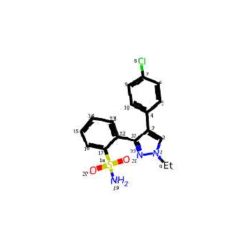 CCn1cc(-c2ccc(Cl)cc2)c(-c2ccccc2S(N)(=O)=O)n1